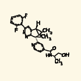 CC(CO)NC(=O)c1ccnc([C@]23CC[C@@H](c4cc(-c5c(F)cccc5F)nnc42)C3(C)C)c1